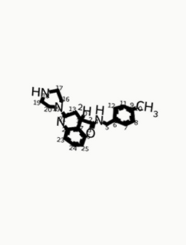 [2H]C1(C(=O)NCc2ccc(C)cc2)CC(N2CCNCC2)=Nc2ccccc21